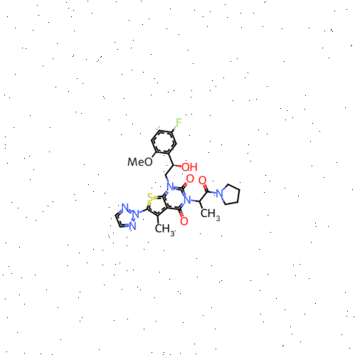 COc1ccc(F)cc1[C@@H](O)Cn1c(=O)n(C(C)C(=O)N2CCCC2)c(=O)c2c(C)c(-n3nccn3)sc21